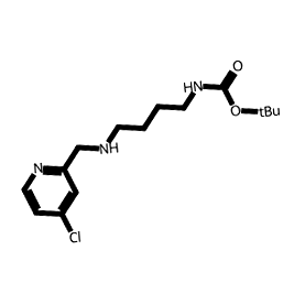 CC(C)(C)OC(=O)NCCCCNCc1cc(Cl)ccn1